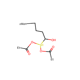 CCCCCCCCCCCCC(O)[SH](OC(=O)CC)OC(=O)CC